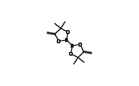 C=C1OB(B2OC(=C)C(C)(C)O2)OC1(C)C